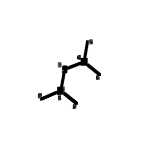 [CH3][Bi]([CH3])[S][Bi]([CH3])[CH3]